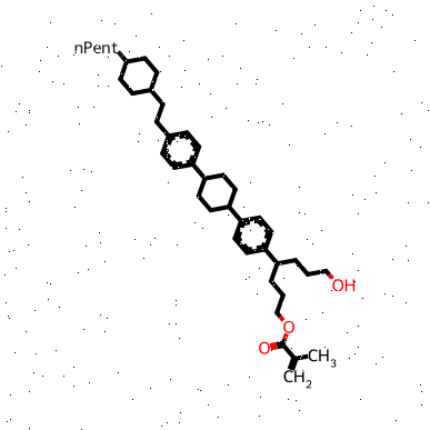 C=C(C)C(=O)OCCCC(CCCO)c1ccc(C2CCC(c3ccc(CCC4CCC(CCCCC)CC4)cc3)CC2)cc1